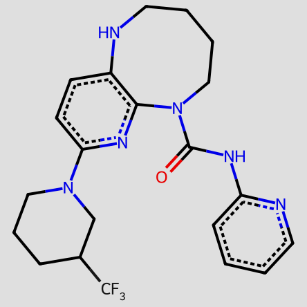 O=C(Nc1ccccn1)N1CCCCNc2ccc(N3CCCC(C(F)(F)F)C3)nc21